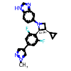 Cn1cc(-c2cc(F)c([C@@H]3[C@H](C4CC4)CN3c3ccc4[nH]cnc4c3)c(F)c2)cn1